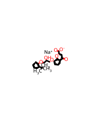 CC(C)(C)c1ccccc1OCC(O)COc1cccc2c(=O)cc(C(=O)[O-])oc12.[Na+]